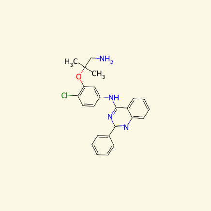 CC(C)(CN)Oc1cc(Nc2nc(-c3ccccc3)nc3ccccc23)ccc1Cl